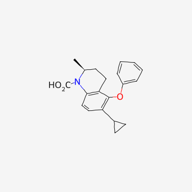 C[C@H]1CCc2c(ccc(C3CC3)c2Oc2ccccc2)N1C(=O)O